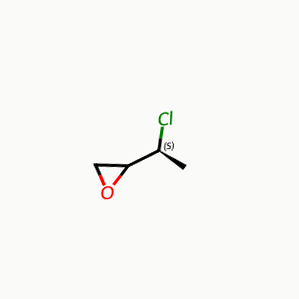 C[C@H](Cl)C1CO1